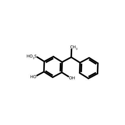 CC(c1ccccc1)c1cc(S(=O)(=O)O)c(O)cc1O